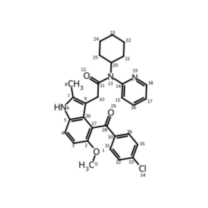 COc1ccc2[nH]c(C)c(CC(=O)N(c3ccccn3)C3CCCCC3)c2c1C(=O)c1ccc(Cl)cc1